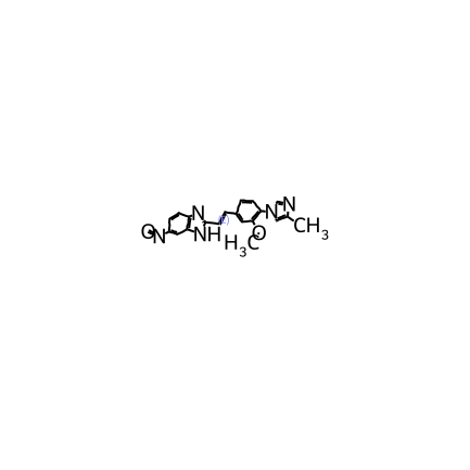 COc1cc(/C=C/c2nc3ccc(N=O)cc3[nH]2)ccc1-n1cnc(C)c1